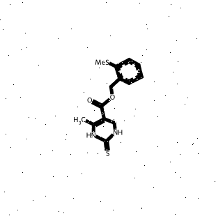 CSc1ccccc1COC(=O)C1=C(C)NC(=S)NC1